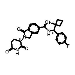 O=C1CC[C@@H](N2Cc3cc(C(=O)N[C@H](c4ccc(F)cc4)C4(F)CCC4)ccc3C2=O)C(=O)N1